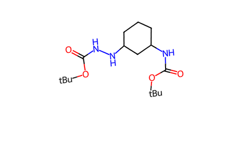 CC(C)(C)OC(=O)NNC1CCCC(NC(=O)OC(C)(C)C)C1